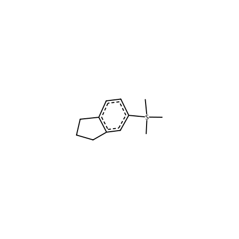 CS(C)(C)c1ccc2c(c1)CCC2